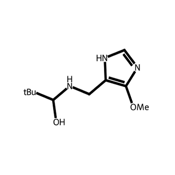 COc1nc[nH]c1CNC(O)C(C)(C)C